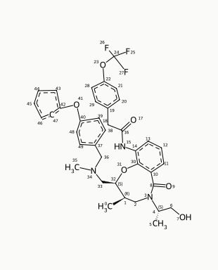 C[C@@H]1CN([C@@H](C)CO)C(=O)c2cccc(NC(=O)Cc3ccc(OC(F)(F)F)cc3)c2O[C@@H]1CN(C)Cc1ccc(Oc2ccccc2)cc1